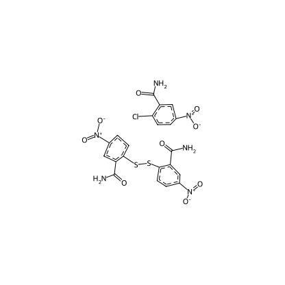 NC(=O)c1cc([N+](=O)[O-])ccc1Cl.NC(=O)c1cc([N+](=O)[O-])ccc1SSc1ccc([N+](=O)[O-])cc1C(N)=O